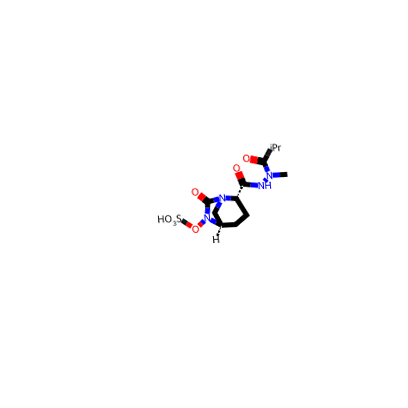 CC(C)C(=O)N(C)NC(=O)[C@@H]1CC[C@@H]2CN1C(=O)N2OS(=O)(=O)O